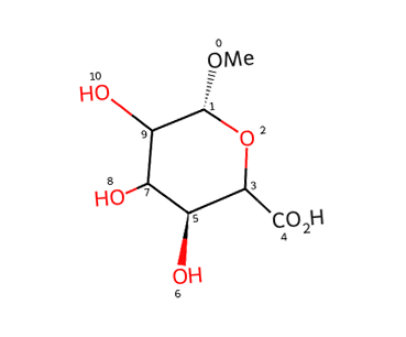 CO[C@@H]1OC(C(=O)O)[C@@H](O)C(O)C1O